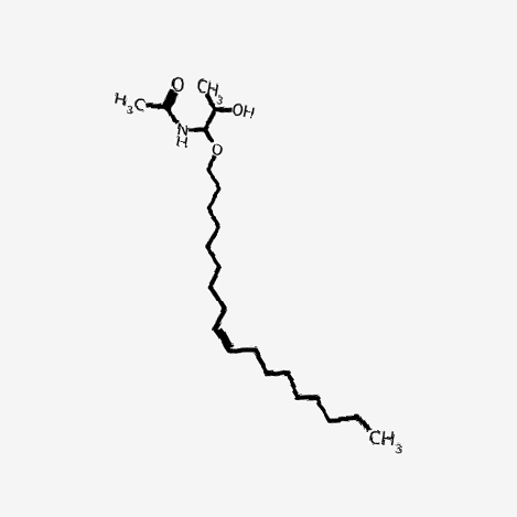 CCCCCCCC/C=C\CCCCCCCCOC(NC(C)=O)C(C)O